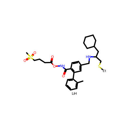 CCSCC(CC1CCCCC1)NCc1ccc(C(=O)NOC(=O)CCCS(C)(=O)=O)c(-c2ccccc2C)c1.[LiH]